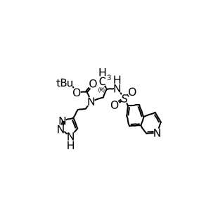 C[C@H](CN(CCc1c[nH]nn1)C(=O)OC(C)(C)C)NS(=O)(=O)c1ccc2cnccc2c1